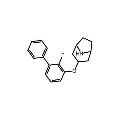 Fc1c(OC2CC3CCC(C2)N3)cccc1-c1ccccc1